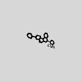 c1ccc(-c2ccc3c(ccc4cc(-c5cccc6ncoc56)c5ccccc5c43)c2)cc1